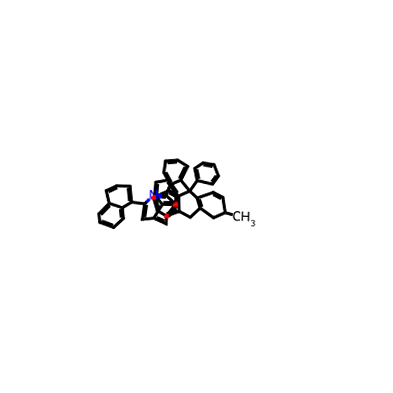 CC1C=CC2=C(Cc3ccccc3C2(c2ccccc2)c2ccccc2C2=N/C(c3cccc4ccccc34)=C\C(c3ccccc3)=C\C=C\2)C1